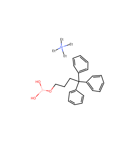 CC[N+](CC)(CC)CC.OB(O)OCCCC(c1ccccc1)(c1ccccc1)c1ccccc1